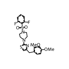 COc1ccc(Cc2csc(N3CCN(S(=O)(=O)c4c(F)cccc4F)CC3)n2)c(OC)c1